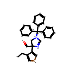 CCc1cscc1C1(C=O)CN(C(c2ccccc2)(c2ccccc2)c2ccccc2)C=N1